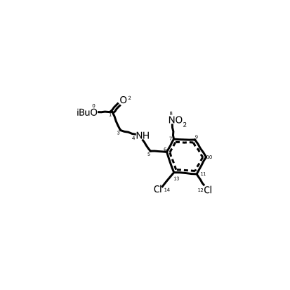 CC(C)COC(=O)CNCc1c([N+](=O)[O-])ccc(Cl)c1Cl